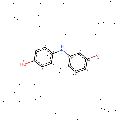 Oc1ccc(Nc2cccc(Br)c2)cc1